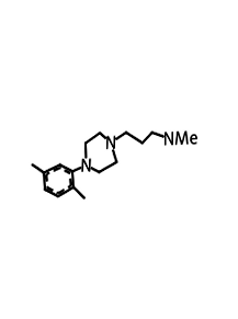 CNCCCN1CCN(c2cc(C)ccc2C)CC1